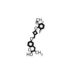 COc1cccc(F)c1OC1CC(COc2cccc(CC(C)C(=O)O)c2)C1